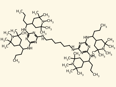 CCCC(Nc1nc(NCCCCCCNc2nc(NC(CCC)C3CC(C)(C)N(C)C(C)(C)C3)nc(NC(CCC)C3CC(C)(C)N(C)C(C)(C)C3)n2)nc(NC(CCC)C2CC(C)(C)N(C)C(C)(C)C2)n1)C1CC(C)(C)N(C)C(C)(C)C1